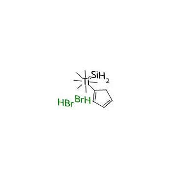 Br.Br.[CH3][Ti]([CH3])([CH3])([CH3])([CH3])([CH3])(=[SiH2])[C]1=CC=CC1